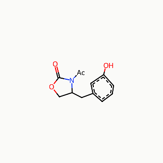 CC(=O)N1C(=O)OCC1Cc1cccc(O)c1